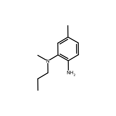 CCCN(C)c1cc(C)ccc1N